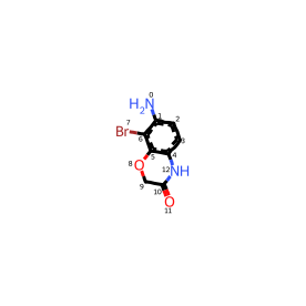 Nc1ccc2c(c1Br)OCC(=O)N2